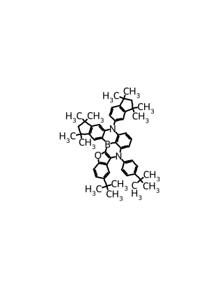 CC(C)(C)c1ccc(N2c3cccc4c3B(c3cc5c(cc3N4c3ccc4c(c3)C(C)(C)CC4(C)C)C(C)(C)CC5(C)C)c3oc4ccc(C(C)(C)C)cc4c32)cc1